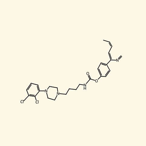 C=N/C(=C\C=C/C)c1ccc(OC(=O)NCCCCN2CCN(c3cccc(Cl)c3Cl)CC2)cc1